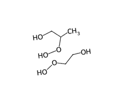 CC(CO)OO.OCCOO